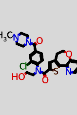 CN1CCN(C(=O)c2ccc(N(CCO)C(=O)c3cc4c(s3)-c3ncccc3OCC4)c(Cl)c2)CC1